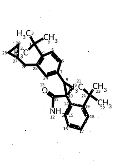 CC(C)(C)c1ccc(C2CC2(C(N)=O)c2ccccc2C(C)(C)C)cc1CC1CC1